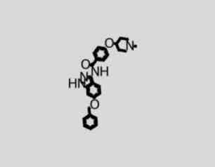 CN1CCC(Oc2ccc(C(=O)Nc3n[nH]c4cc(OCc5ccccc5)ccc34)cc2)CC1